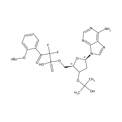 CCCCOc1ccccc1C(=O)C(F)(F)P(=O)(O)OC[C@H]1O[C@@H](n2cnc3c(N)ncnc32)CC1OC(C)(C)O